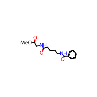 COC(=O)CNC(=O)CCCCNC(=O)c1ccccc1